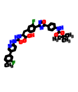 Cc1ccc(-c2ccc(NC(=O)NC(Cc3ccc(-c4noc(-c5ccc(NC(=O)OC(C)(C)C)cc5)n4)c(F)c3)C(=O)O)nc2)cc1F